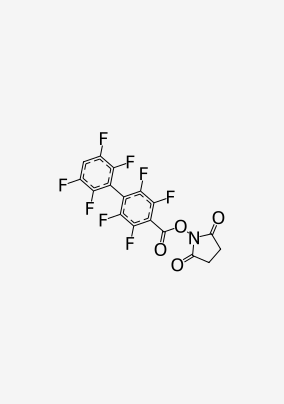 O=C(ON1C(=O)CCC1=O)c1c(F)c(F)c(-c2c(F)c(F)cc(F)c2F)c(F)c1F